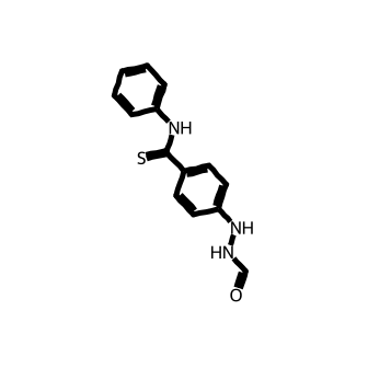 O=CNNc1ccc(C(=S)Nc2ccccc2)cc1